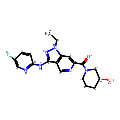 O=C(c1cc2c(cn1)c(Nc1ccc(F)cn1)nn2CC(F)(F)F)N1CCC[C@H](O)C1